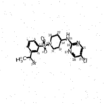 CC(Br)c1cccc(S(=O)(=O)N2CCC(Nc3ncc(Cl)cn3)CC2)c1